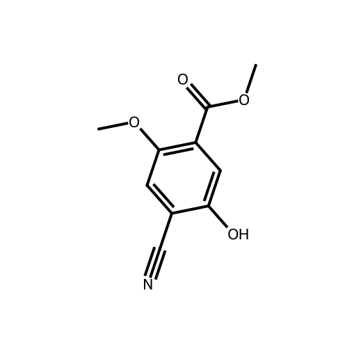 COC(=O)c1cc(O)c(C#N)cc1OC